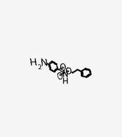 Nc1ccc(S(=O)(=O)NOCCc2ccccc2)cc1